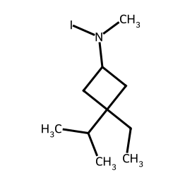 CCC1(C(C)C)CC(N(C)I)C1